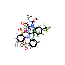 CN1C(=O)C(=NC(N(c2ccccc2S(C)(=O)=O)c2ccccc2S(C)(=O)=O)C(Cl)(Cl)Cl)N(c2cccc(C(F)(F)F)c2)C1=O